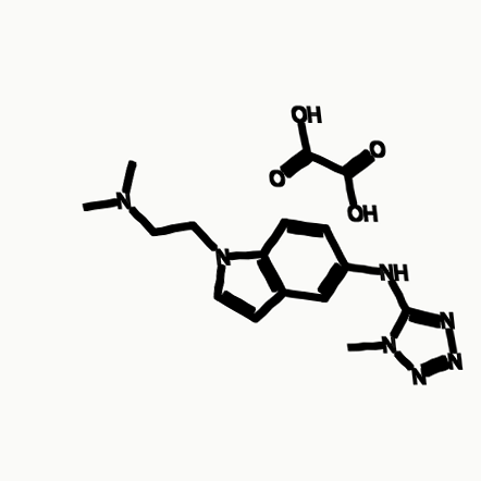 CN(C)CCn1ccc2cc(Nc3nnnn3C)ccc21.O=C(O)C(=O)O